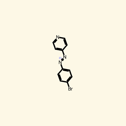 Brc1ccc(/N=N/c2ccncc2)cc1